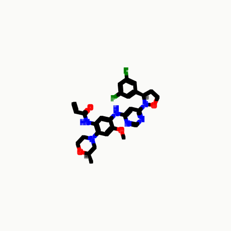 C=CC(=O)Nc1cc(Nc2cc(N3OCC[C@@H]3c3cc(F)cc(F)c3)ncn2)c(OC)cc1N1CCO[C@H](C)C1